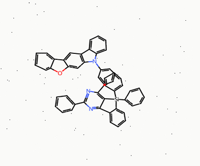 c1ccc(-c2nc(-c3cccc(-n4c5ccccc5c5cc6c(cc54)oc4ccccc46)c3)c3c(n2)-c2ccccc2[Si]3(c2ccccc2)c2ccccc2)cc1